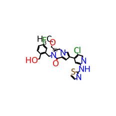 COC[C@H]1Cn2cc(-c3cc(Nc4nccs4)ncc3Cl)cc2C(=O)N1Cc1cc(F)ccc1CO